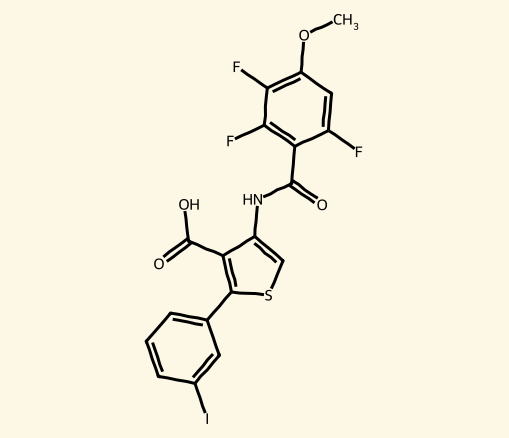 COc1cc(F)c(C(=O)Nc2csc(-c3cccc(I)c3)c2C(=O)O)c(F)c1F